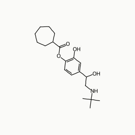 CC(C)(C)NCC(O)c1ccc(OC(=O)C2CCCCCC2)c(O)c1